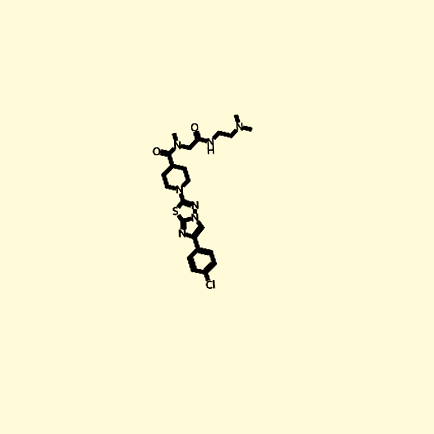 CN(C)CCNC(=O)CN(C)C(=O)C1CCN(c2nn3cc(-c4ccc(Cl)cc4)nc3s2)CC1